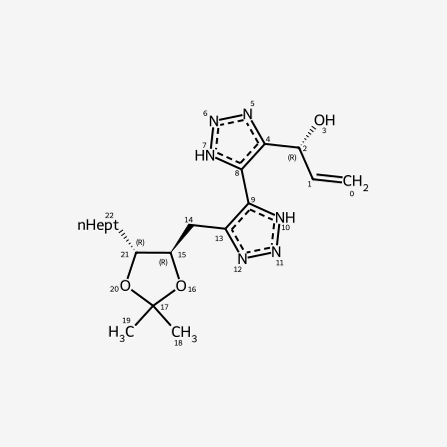 C=C[C@@H](O)c1nn[nH]c1-c1[nH]nnc1C[C@H]1OC(C)(C)O[C@@H]1CCCCCCC